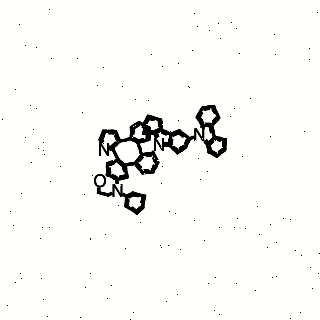 c1ccc(N2CCOc3cc4c(cc32)-c2cccc(-n3c5ccccc5c5cc(-n6c7ccccc7c7ccccc76)ccc53)c2-c2ccccc2-c2cccnc2-4)cc1